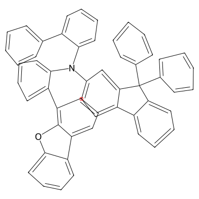 c1ccc(-c2ccccc2N(c2ccc3c(c2)C(c2ccccc2)(c2ccccc2)c2ccccc2-3)c2ccccc2-c2cccc3c2oc2ccccc23)cc1